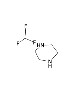 C1CNCCN1.FC(F)F